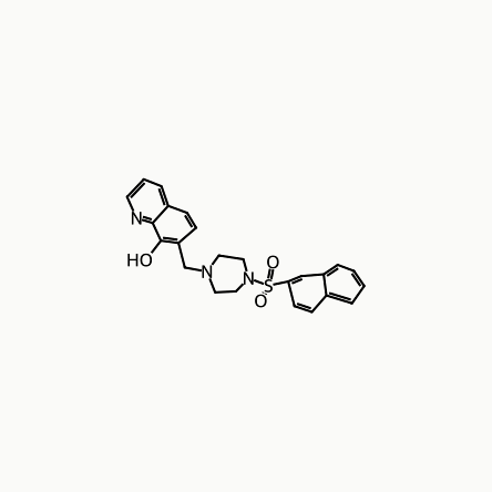 O=S(=O)(c1ccc2ccccc2c1)N1CCN(Cc2ccc3cccnc3c2O)CC1